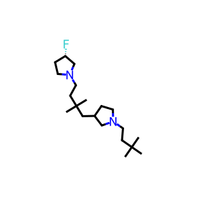 CC(C)(C)CCN1CCC(CC(C)(C)CCN2CC[C@H](F)C2)C1